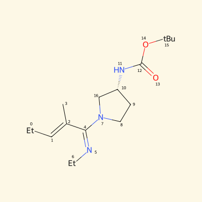 CC/C=C(C)/C(=N\CC)N1CC[C@@H](NC(=O)OC(C)(C)C)C1